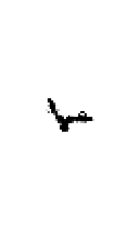 CCC/C=C(\C)C(=O)OCCCc1ccc(N(c2ccc(CCCOC(=O)/C(C)=C/CCC)cc2)c2ccc(C)c(C)c2)cc1